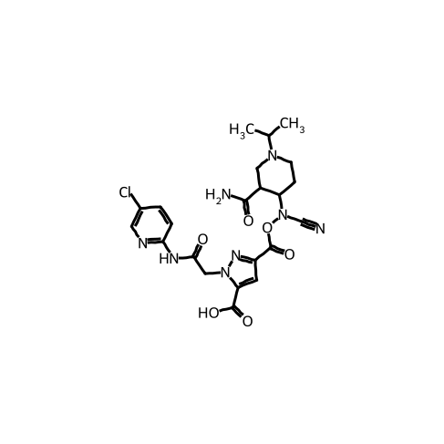 CC(C)N1CCC(N(C#N)OC(=O)c2cc(C(=O)O)n(CC(=O)Nc3ccc(Cl)cn3)n2)C(C(N)=O)C1